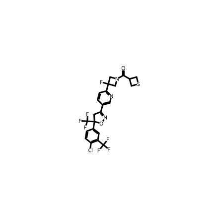 O=C(C1CSC1)N1CC(F)(c2ccc(C3=NOC(c4ccc(Cl)c(C(F)(F)F)c4)(C(F)(F)F)C3)cn2)C1